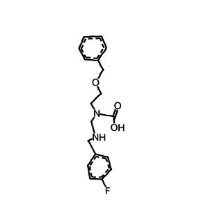 O=C(O)N(CCOCc1ccccc1)CNCc1ccc(F)cc1